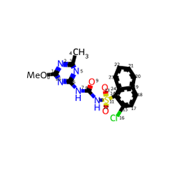 COc1nc(C)nc(NC(=O)NS(=O)(=O)c2c(Cl)ccc3ccccc23)n1